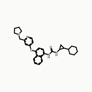 O=C(Nc1ccc(Oc2ccnc(CN3CCCC3)c2)c2ccccc12)NC1CC1C1CCCCC1